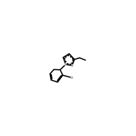 CCc1ccn(C2CC=CC=C2Cl)n1